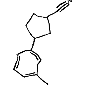 Cc1cc[c]c(C2CCC(C#N)C2)c1